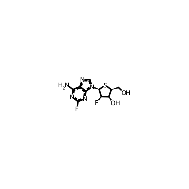 Nc1nc(F)nc2c1ncn2[C@H]1S[C@@H](CO)[C@@H](O)[C@H]1F